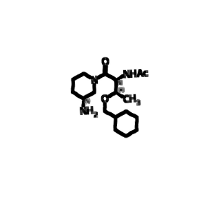 CC(=O)N[C@H](C(=O)N1CCC[C@H](N)C1)[C@@H](C)OCC1CCCCC1